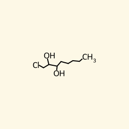 CCCCCC(O)C(O)CCl